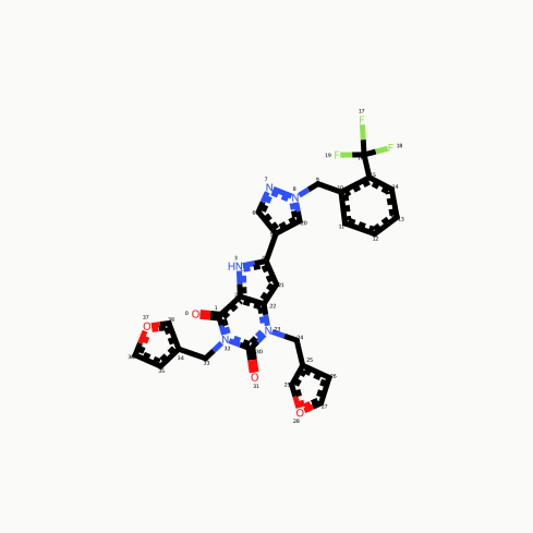 O=c1c2[nH]c(-c3cnn(Cc4ccccc4C(F)(F)F)c3)cc2n(Cc2ccoc2)c(=O)n1Cc1ccoc1